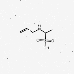 C=CCNC(C)S(=O)(=O)O